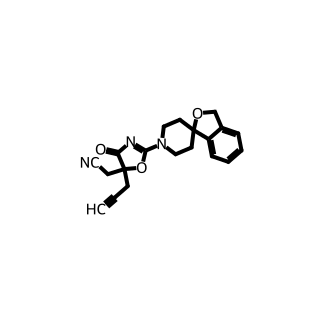 C#CCC1(CC#N)OC(N2CCC3(CC2)OCc2ccccc23)=NC1=O